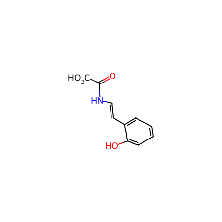 O=C(O)C(=O)NC=Cc1ccccc1O